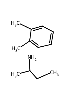 CCC(C)N.Cc1ccccc1C